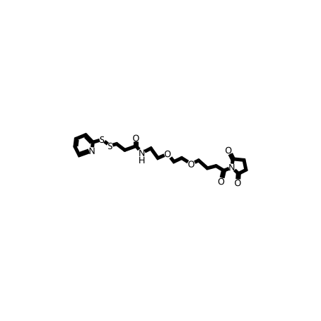 O=C(CCSSc1ccccn1)NCCOCCOCCCC(=O)N1C(=O)CCC1=O